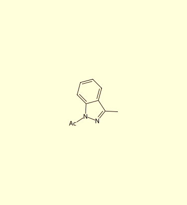 CC(=O)n1nc(C)c2ccccc21